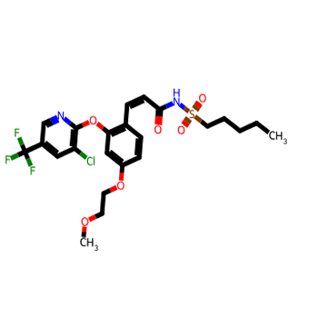 CCCCCS(=O)(=O)NC(=O)/C=C\c1ccc(OCCOC)cc1Oc1ncc(C(F)(F)F)cc1Cl